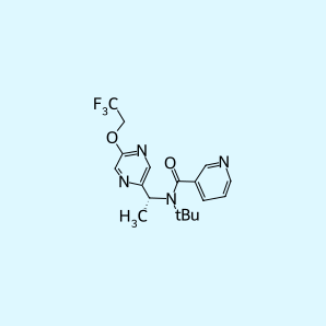 C[C@H](c1cnc(OCC(F)(F)F)cn1)N(C(=O)c1cccnc1)C(C)(C)C